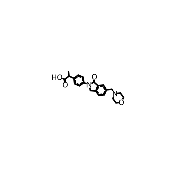 CC(C(=O)O)c1ccc(N2Cc3ccc(CN4CCOCC4)cc3C2=O)cc1